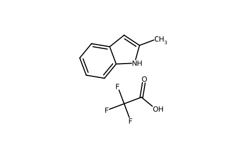 Cc1cc2ccccc2[nH]1.O=C(O)C(F)(F)F